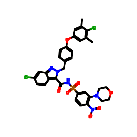 Cc1cc(Oc2ccc(Cn3nc4cc(Cl)ccc4c3C(=O)NS(=O)(=O)c3ccc([N+](=O)[O-])c(N4CCOCC4)c3)cc2)cc(C)c1Cl